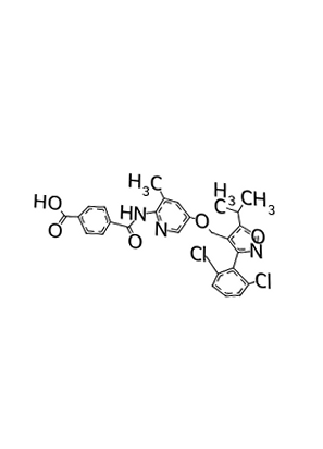 Cc1cc(OCc2c(-c3c(Cl)cccc3Cl)noc2C(C)C)cnc1NC(=O)c1ccc(C(=O)O)cc1